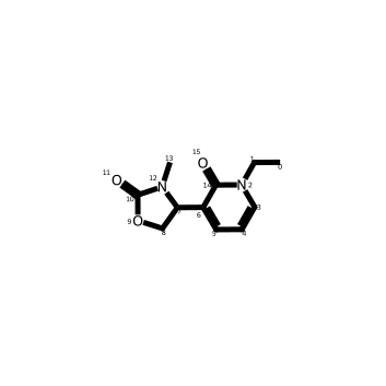 CCn1cccc(C2COC(=O)N2C)c1=O